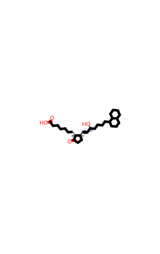 O=C(O)CCCCCC[C@H]1C(=O)CC[C@@H]1/C=C/[C@@H](O)CCCCC1CCCC2CCCCC21